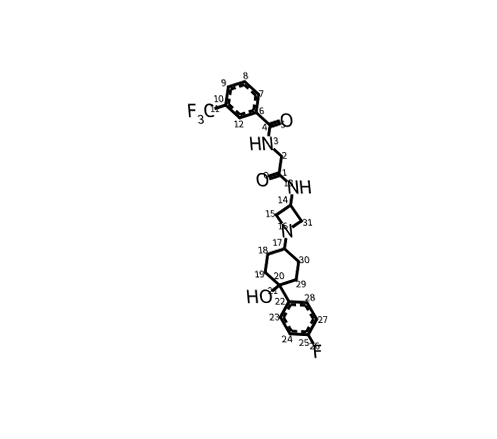 O=C(CNC(=O)c1cccc(C(F)(F)F)c1)NC1CN(C2CCC(O)(c3ccc(F)cc3)CC2)C1